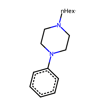 CCCCC[CH]N1CCN(c2ccccc2)CC1